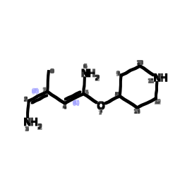 CC(=C/N)/C=C(\N)OC1CCNCC1